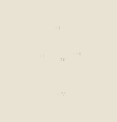 COc1cccc2c1CCC(CNCC(O)c1cccc(Cl)c1)C2.Cl